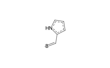 [B]=Cc1ccc[nH]1